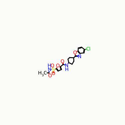 CC(=O)NS(=O)(=O)c1ccc(C(=O)NC2CCC(c3nc4cc(Cl)ccc4o3)CC2)o1